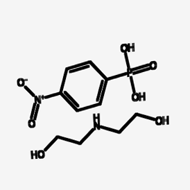 O=[N+]([O-])c1ccc(P(=O)(O)O)cc1.OCCNCCO